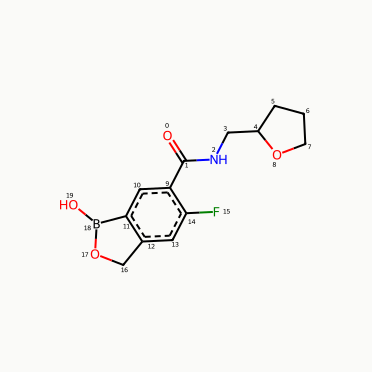 O=C(NCC1CCCO1)c1cc2c(cc1F)COB2O